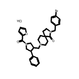 Cl.O=C(c1ccco1)N1CC(CN2CCC3(CC2)CCN(Cc2ccc(Br)cc2)C3=O)C(c2ccccc2)C1